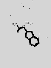 C[C@H]([C@H](C(=O)O)C1Cc2ccccc2C1)C(F)(F)F